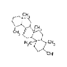 CC1CCCC2(C)CCC3C(=CCC4C3(C)CCC3C(C)C(O)CCC34C)C12